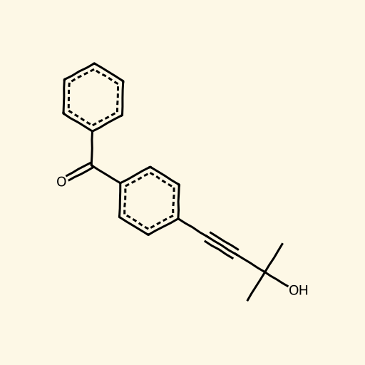 CC(C)(O)C#Cc1ccc(C(=O)c2ccccc2)cc1